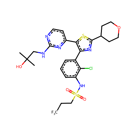 CC(C)(O)CNc1nccc(-c2sc(C3CCOCC3)nc2-c2cccc(NS(=O)(=O)CCC(F)(F)F)c2Cl)n1